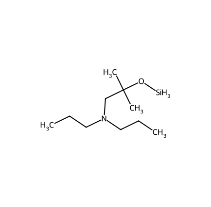 CCCN(CCC)CC(C)(C)O[SiH3]